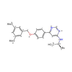 CCCC[C@H](Nc1cc(-c2ccc(OCc3cc(OC)cc(OC)c3)cc2)ncn1)C(=O)O